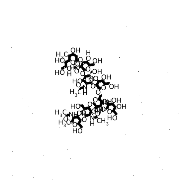 CC(=O)NC1C(O)[C@H](O[C@@H]2OC(CO)[C@H](O)[C@H](O[C@]3(OC=O)C[C@@H](O)[C@@H](C)C(C(O)C(O)CO)O3)C2O)[C@H](CO)O[C@H]1OC1[C@@H](OCC2O[C@@H](O[C@@H]3C(CO)O[C@@H](O[C@@H]4C(CO)O[C@@H](C)C(NC(C)=O)[C@H]4O)C(NC(C)=O)[C@H]3O)C(O)[C@@H](O[C@H]3OC(CO)[C@@H](O)C(O)C3O)[C@@H]2O)OC(CO)[C@@H](O)[C@@H]1O